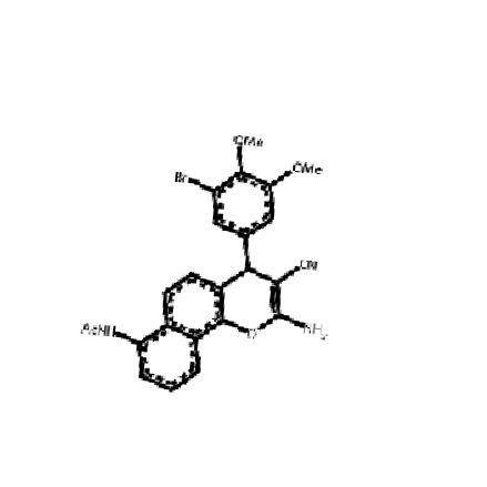 COc1cc(C2C(C#N)=C(N)Oc3c2ccc2c(NC(C)=O)cccc32)cc(Br)c1OC